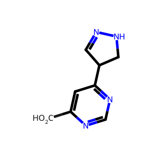 O=C(O)c1cc(C2C=NNC2)ncn1